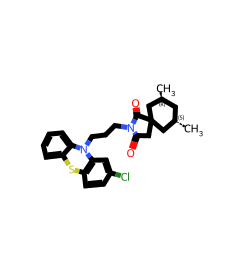 C[C@@H]1C[C@H](C)CC2(CC(=O)N(CCCN3c4ccccc4Sc4ccc(Cl)cc43)C2=O)C1